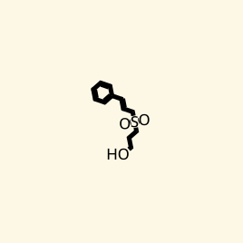 O=S(=O)(CC=Cc1ccccc1)CCCO